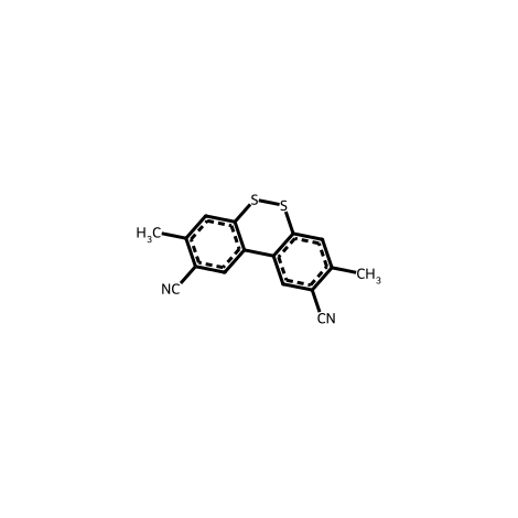 Cc1cc2c(cc1C#N)-c1cc(C#N)c(C)cc1SS2